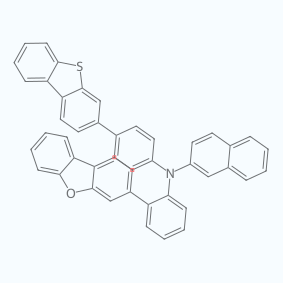 c1ccc(N(c2ccc(-c3ccc4c(c3)sc3ccccc34)cc2)c2ccc3ccccc3c2)c(-c2ccc3c(c2)oc2ccccc23)c1